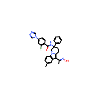 CC(=NO)c1c2n(c3ccc(C)cc13)CC(NC(=O)c1ccc(-n3cnnc3)cc1Cl)(c1ccccc1)CC2